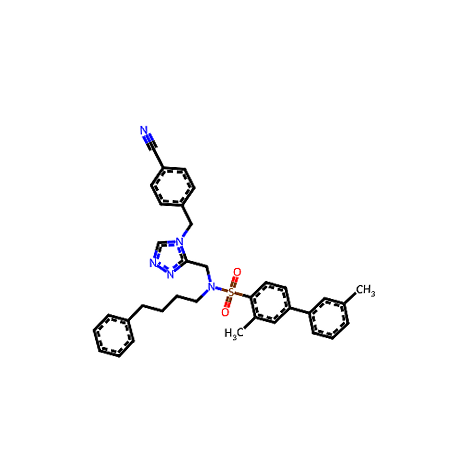 Cc1cccc(-c2ccc(S(=O)(=O)N(CCCCc3ccccc3)Cc3nncn3Cc3ccc(C#N)cc3)c(C)c2)c1